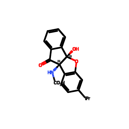 CC(C)c1ccc2c(c1)O[C@@]1(O)c3ccccc3C(=O)[C@@]21NC(=O)O